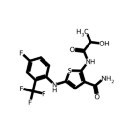 CC(O)C(=O)Nc1sc(Nc2ccc(F)cc2C(F)(F)F)cc1C(N)=O